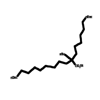 CCCCCCCCCCCCCCCCCCC(CCCC)(CCCCCCCCCCCCCCCC)C(=O)OCC